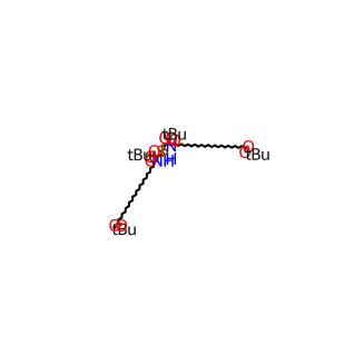 CC(C)(C)OC(=O)CCCCCCCCCCCCCCCCCCCCC(=O)NC(CSSCC(NC(=O)CCCCCCCCCCCCCCCCCCCCC(=O)OC(C)(C)C)C(=O)OC(C)(C)C)C(=O)OC(C)(C)C